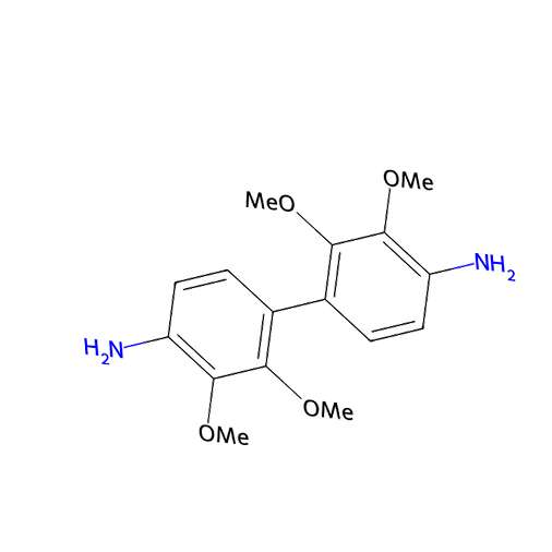 COc1c(N)ccc(-c2ccc(N)c(OC)c2OC)c1OC